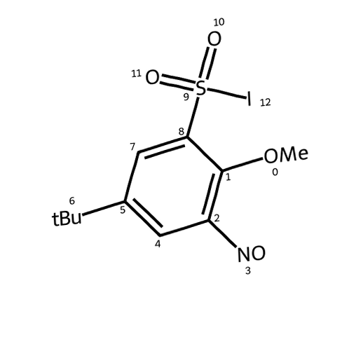 COc1c(N=O)cc(C(C)(C)C)cc1S(=O)(=O)I